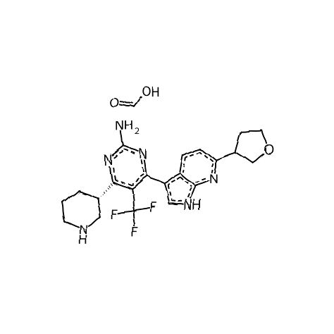 Nc1nc(-c2c[nH]c3nc(C4CCOC4)ccc23)c(C(F)(F)F)c([C@H]2CCCNC2)n1.O=CO